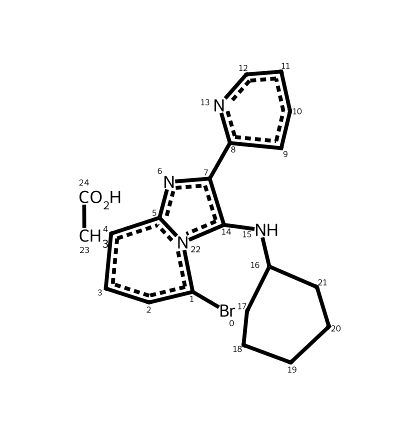 Brc1cccc2nc(-c3ccccn3)c(NC3CCCCC3)n12.CC(=O)O